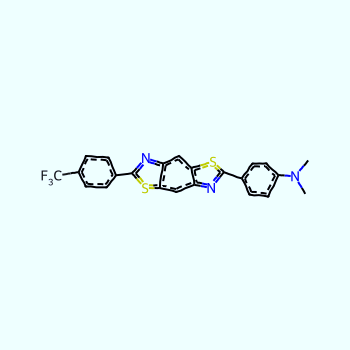 CN(C)c1ccc(-c2nc3cc4sc(-c5ccc(C(F)(F)F)cc5)nc4cc3s2)cc1